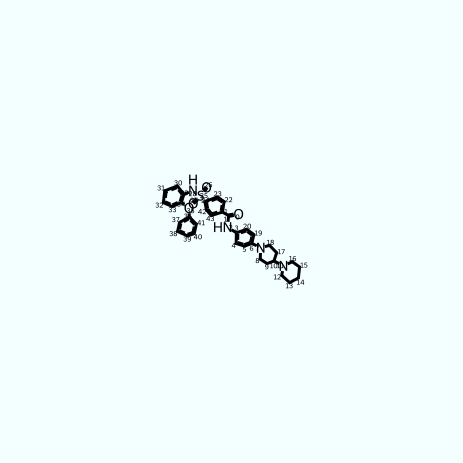 O=C(Nc1ccc(N2CCC(N3CCCCC3)CC2)cc1)c1ccc(S(=O)(=O)Nc2ccccc2Oc2ccccc2)cc1